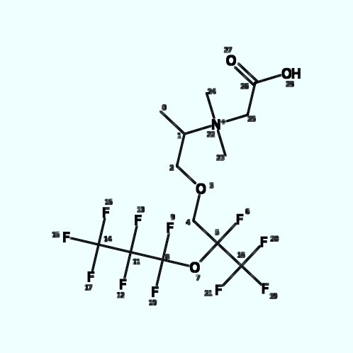 CC(COCC(F)(OC(F)(F)C(F)(F)C(F)(F)F)C(F)(F)F)[N+](C)(C)CC(=O)O